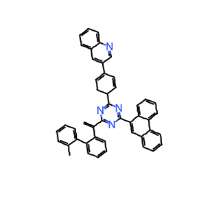 C=C(c1nc(-c2cc3ccccc3c3ccccc23)nc(C2C=CC(c3cnc4ccccc4c3)=CC2)n1)c1ccccc1-c1ccccc1C